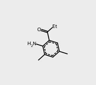 CCC(=O)c1cc(C)cc(C)c1N